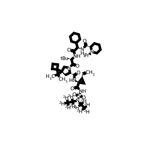 [2H]C([2H])([2H])C([2H])([2H])N(C([2H])([2H])C([2H])([2H])[2H])S(=O)(=O)NC(=O)[C@@]1(NC(=O)[C@@H]2C[C@@]3(CN2C(=O)[C@@H](NC(=O)[C@@H](NC(=O)[C@@H]2CCCCN2C(C)C)C2CCCCC2)C(C)(C)C)C(C)(C)C32CCC2)C[C@H]1C=C